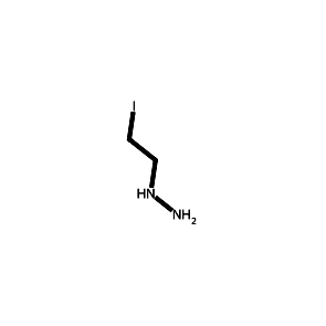 NNCCI